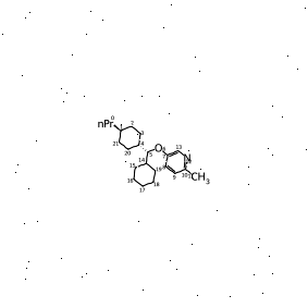 CCC[C@H]1CC[C@H](C(Oc2ccc(C)nc2)C2CCCCC2)CC1